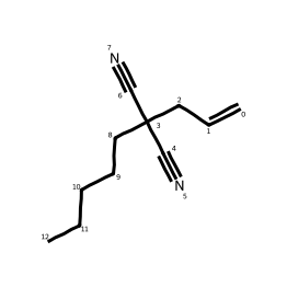 C=CCC(C#N)(C#N)CCCCC